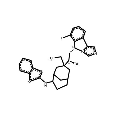 CCC1([C@H](O)C[C@@H]2c3c(F)cccc3-c3cncn32)CC2CCC(Nc3nc4ccccc4o3)C(C2)C1